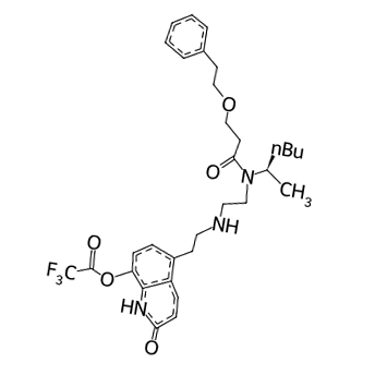 CCCC[C@@H](C)N(CCNCCc1ccc(OC(=O)C(F)(F)F)c2[nH]c(=O)ccc12)C(=O)CCOCCc1ccccc1